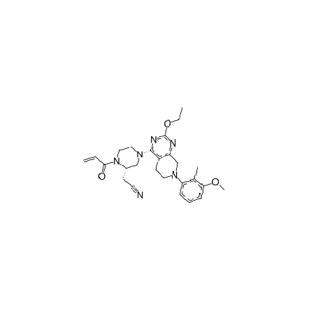 C=CC(=O)N1CCN(c2nc(OCC)nc3c2CCN(c2cccc(OC)c2C)C3)C[C@@H]1CC#N